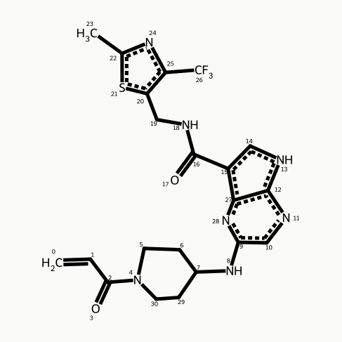 C=CC(=O)N1CCC(Nc2cnc3[nH]cc(C(=O)NCc4sc(C)nc4C(F)(F)F)c3n2)CC1